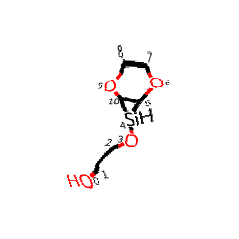 OCCO[SiH]1C2OCCOC21